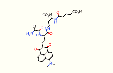 CC[C@H](N)C(=O)N[C@H](CCC1C(=O)c2cccc3c(N(C)C)ccc(c23)C1=O)C(=O)NCC[C@@H](NC(=O)CCCC(=O)O)C(=O)O